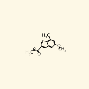 COC(=O)c1ccc2c(C)cc(OC)cc2c1